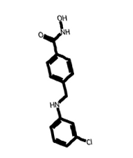 O=C(NO)c1ccc(CNc2cccc(Cl)c2)cc1